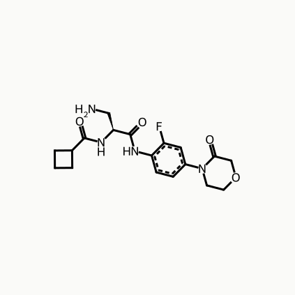 NC[C@H](NC(=O)C1CCC1)C(=O)Nc1ccc(N2CCOCC2=O)cc1F